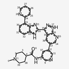 CN1CCC(C(=O)Nc2cncc(-c3cnc4[nH]nc(-c5nc6c(-c7ccccn7)cccc6[nH]5)c4c3)c2)CC1